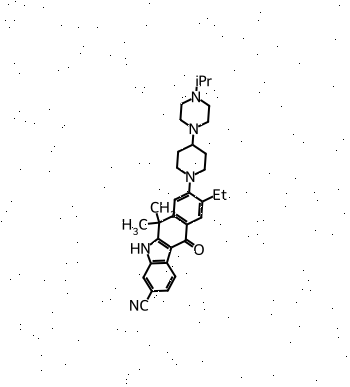 CCc1cc2c(cc1N1CCC(N3CCN(C(C)C)CC3)CC1)C(C)(C)c1[nH]c3cc(C#N)ccc3c1C2=O